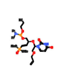 C=CCOCC(OC(/C=C/P(=O)(OC)OC)COP(OCCC#N)N(C(C)C)C(C)C)n1ccc(=O)[nH]c1=O